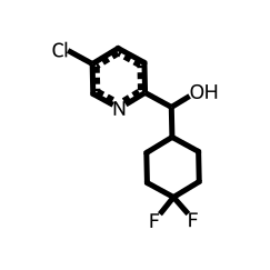 OC(c1ccc(Cl)cn1)C1CCC(F)(F)CC1